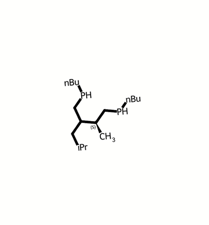 CCCCPCC(CC(C)C)[C@H](C)CPCCCC